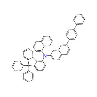 c1ccc(-c2ccc(-c3ccc4ccc(N(c5cccc6c5-c5ccccc5C6(c5ccccc5)c5ccccc5)c5cccc6ccccc56)cc4c3)cc2)cc1